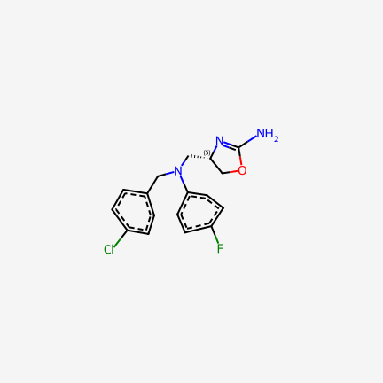 NC1=N[C@@H](CN(Cc2ccc(Cl)cc2)c2ccc(F)cc2)CO1